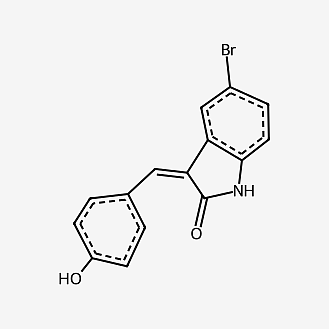 O=C1Nc2ccc(Br)cc2C1=Cc1ccc(O)cc1